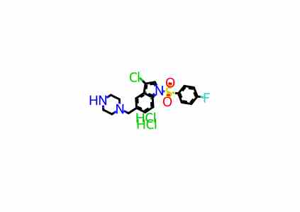 Cl.Cl.O=S(=O)(c1ccc(F)cc1)n1cc(Cl)c2cc(CN3CCNCC3)ccc21